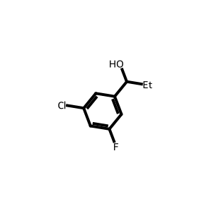 CCC(O)c1cc(F)cc(Cl)c1